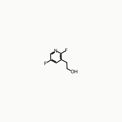 OCCc1cc(F)cnc1F